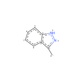 [CH2]c1n[nH]c2ccccc12